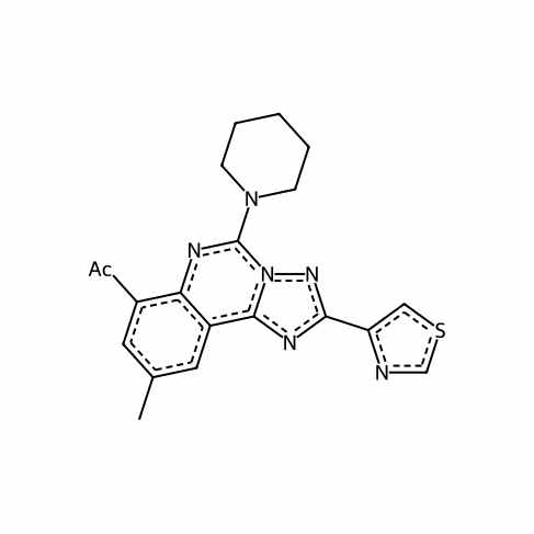 CC(=O)c1cc(C)cc2c1nc(N1CCCCC1)n1nc(-c3cscn3)nc21